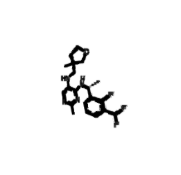 Cc1ncc(NCC2(C)CCOC2)c(N[C@H](C)c2cccc(C(F)F)c2F)n1